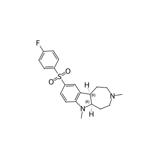 CN1CC[C@@H]2c3cc(S(=O)(=O)c4ccc(F)cc4)ccc3N(C)[C@@H]2CC1